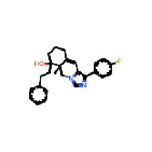 CC12Cn3cnc(-c4ccc(F)cc4)c3C=C1CCCC2(O)CCc1ccccc1